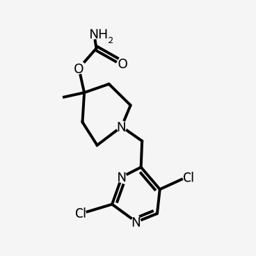 CC1(OC(N)=O)CCN(Cc2nc(Cl)ncc2Cl)CC1